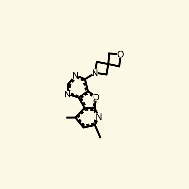 Cc1cc(C)c2c(n1)oc1c(N3CC4(COC4)C3)ncnc12